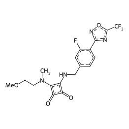 COCCN(C)c1c(NCc2ccc(-c3noc(C(F)(F)F)n3)c(F)c2)c(=O)c1=O